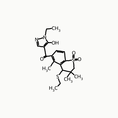 CCSC1c2c(ccc(C(=O)c3cnn(CC)c3O)c2C)S(=O)(=O)CC1(C)C